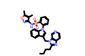 CCCCc1nc2ccncc2n1Cc1cn(-c2ccccc2S(=O)(=O)Nc2noc(C)c2C)c2ccccc12